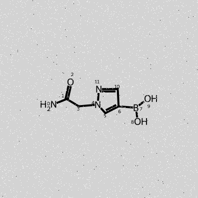 NC(=O)Cn1cc(B(O)O)cn1